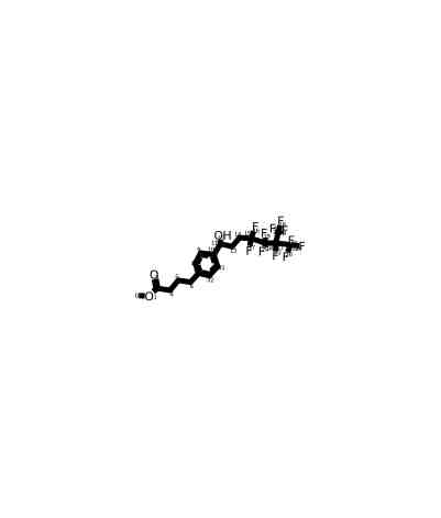 COC(=O)CCCc1ccc(C(O)CCC(F)(F)C(F)(F)C(F)(C(F)(F)F)C(F)(F)F)cc1